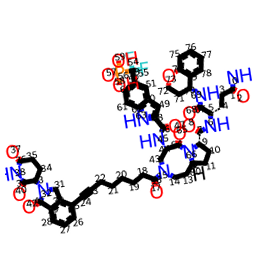 NC(=O)CC[C@H](NC(=O)[C@@H]1CC[C@@H]2CCN(C(=O)CCCCCC#Cc3cccc4c3CN(C3CCC(=O)NC3=O)C4=O)C[C@H](NC(=O)c3cc4cc(C(F)(F)P(=O)(O)O)ccc4[nH]3)C(=O)N21)C(=O)N[C@H]1CCOc2ccccc21